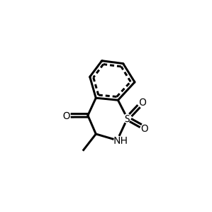 CC1NS(=O)(=O)c2ccccc2C1=O